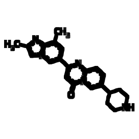 Cc1cn2cc(-c3cc(=O)n4cc(C5CCNCC5)ccc4n3)cc(C)c2n1